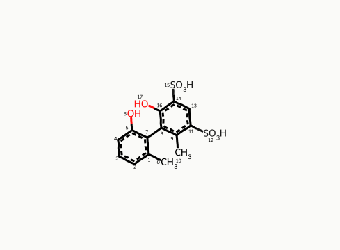 Cc1cccc(O)c1-c1c(C)c(S(=O)(=O)O)cc(S(=O)(=O)O)c1O